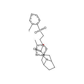 Cc1ccc(N2C3CCC2CN(C(=O)CCCS(=O)(=O)c2ccccc2I)C3)nc1